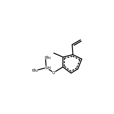 C=Cc1cccc(O[SiH](C(C)(C)C)C(C)(C)C)c1C